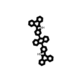 c1ccc2c(-c3ccc4c(c3)[nH]c3c5ccccc5c5ccccc5c43)c3ccccc3c(-c3ccc4c(c3)[nH]c3c5ccccc5c5ccccc5c43)c2c1